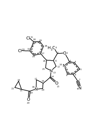 CC(Oc1ccc(C#N)cn1)C1CN(C(=O)C2CN(C(=O)C3CC3)C2)CC1c1ccc(Cl)c(Cl)c1